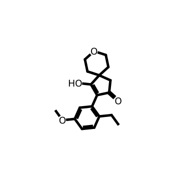 CCc1ccc(OC)cc1C1=C(O)C2(CCOCC2)CC1=O